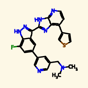 CN(C)Cc1cncc(-c2cc(F)c3[nH]nc(-c4nc5c(-c6ccsc6)ccnc5[nH]4)c3c2)c1